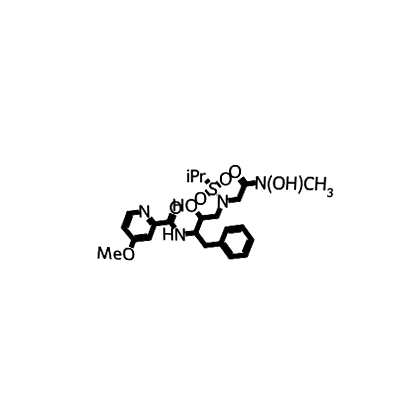 COc1ccnc(C(=O)NC(Cc2ccccc2)C(O)CN(CC(=O)N(C)O)S(=O)(=O)C(C)C)c1